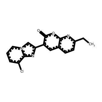 CCc1ccc2cc(-c3cn4cccc(Cl)c4n3)c(=O)oc2n1